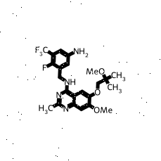 COc1cc2nc(C)nc(NCc3cc(N)cc(C(F)(F)F)c3F)c2cc1OCC(C)(C)OC